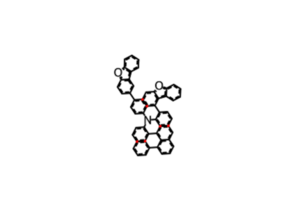 c1ccc(-c2cccc3cccc(-c4ccccc4N(c4ccc(-c5ccc6oc7ccccc7c6c5)cc4)c4ccccc4-c4cccc5oc6ccccc6c45)c23)cc1